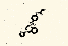 C=CC(=O)Nc1ccc(S(=O)(=O)N2CCN(c3ccco3)C=C3CC=CC=C32)cc1